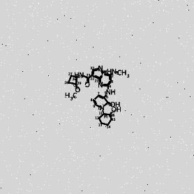 CNc1cc(NC2=CC=CN([C@@H]3CCCC[C@@H]3O)C2O)nc2c(C(=O)N[C@H]3CC[C@@H]3OC)cnn12